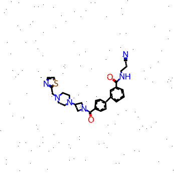 N#CCCNC(=O)c1cccc(-c2ccc(C(=O)N3CC(N4CCN(Cc5nccs5)CC4)C3)cc2)c1